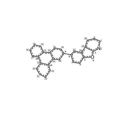 c1cnc2oc3ccc(-c4ccc5c6ccccc6c6ccccc6c5c4)cc3c2c1